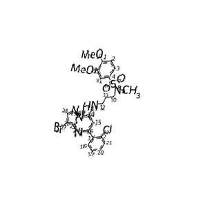 COc1ccc(S(=O)(=O)N(C)CCCNc2cc(-c3ccccc3Cl)nc3c(Br)cnn23)cc1OC